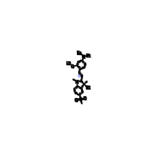 CCOc1cc(N(CC)CC)ccc1/C=C/C1=[N+](C)c2ccc(S(C)(=O)=O)cc2C1(C)CC